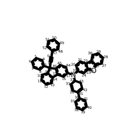 C(#CC1(c2ccccc2)c2ccccc2-c2cc(N(c3ccc4c(c3)oc3ccccc34)C3C=CC(c4ccccc4)=CC3)ccc21)c1ccccc1